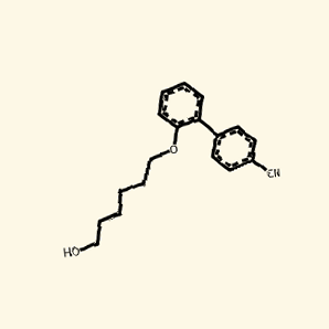 N#Cc1ccc(-c2ccccc2OCCCCCCO)cc1